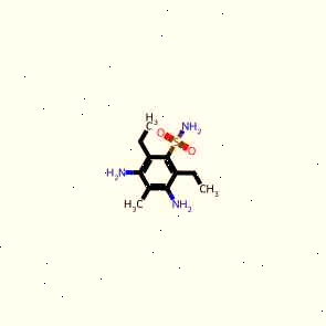 CCc1c(N)c(C)c(N)c(CC)c1S(N)(=O)=O